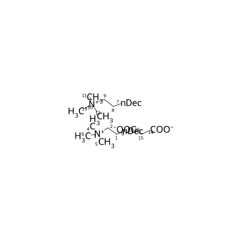 CCCCCCCCCCCC[N+](C)(C)C.CCCCCCCCCCCC[N+](C)(C)C.O=C([O-])CC(=O)[O-]